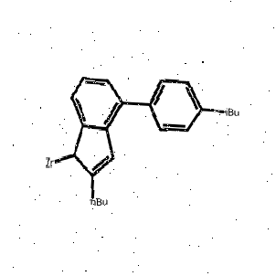 CCCCC1=Cc2c(-c3ccc(C(C)CC)cc3)cccc2[CH]1[Zr]